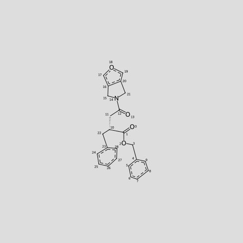 O=C(OCc1ccccc1)[C@@H](CC(=O)N1Cc2cocc2C1)Cc1ccccc1